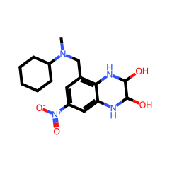 CN(Cc1cc([N+](=O)[O-])cc2c1NC(O)C(O)N2)C1CCCCC1